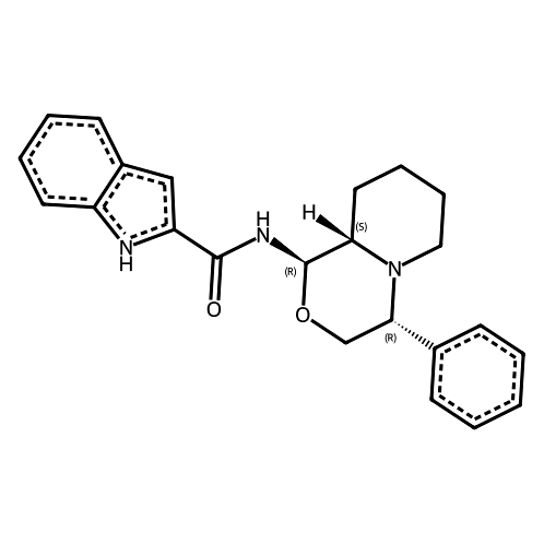 O=C(N[C@@H]1OC[C@@H](c2ccccc2)N2CCCC[C@@H]12)c1cc2ccccc2[nH]1